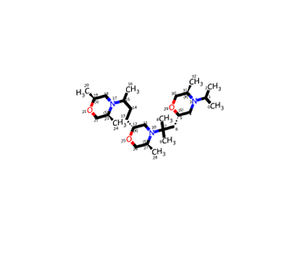 CC(C)N1C[C@H](CC(C)(C)N2C[C@@H](CCC(C)N3C[C@H](C)OC[C@@H]3C)OC[C@@H]2C)OC[C@H]1C